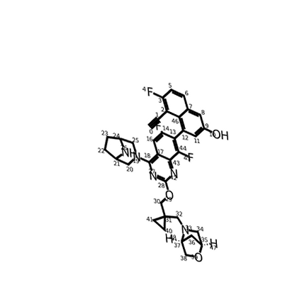 C#Cc1c(F)ccc2cc(O)cc(-c3c(F)cc4c(N5CC6CCC(C5)N6)nc(OCC5(CN6C[C@@H]7C[C@H]6CO7)CC5)nc4c3F)c12